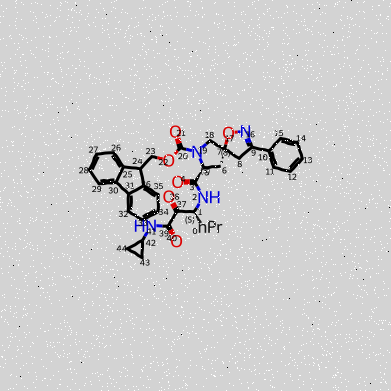 CCC[C@H](NC(=O)[C@@H]1C[C@]2(CC(c3ccccc3)=NO2)CN1C(=O)OCC1c2ccccc2-c2ccccc21)C(=O)C(=O)NC1CC1